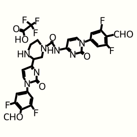 O=C(O)C(F)(F)F.O=Cc1c(F)cc(-n2ccc(NC(=O)N3CCNC(c4ccn(-c5cc(F)c(C=O)c(F)c5)c(=O)n4)C3)nc2=O)cc1F